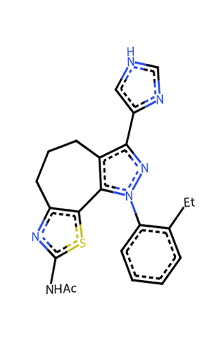 CCc1ccccc1-n1nc(-c2c[nH]cn2)c2c1-c1sc(NC(C)=O)nc1CCC2